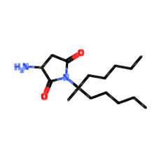 CCCCCC(C)(CCCCC)N1C(=O)CC(N)C1=O